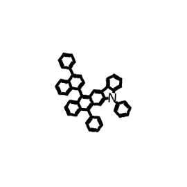 c1ccc(-c2ccc(-c3c4ccccc4c(-c4ccccc4)c4cc5c(cc34)c3ccccc3n5-c3ccccc3)c3ccccc23)cc1